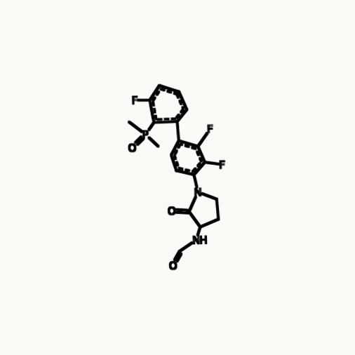 CP(C)(=O)c1c(F)cccc1-c1ccc(N2CCC(NC=O)C2=O)c(F)c1F